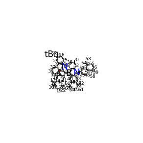 CC1=CC2=C3B(C4=C(CC5=C4C=C4C(C5)C(C)(C)CCC4(C)C)N(c4ccc(C(C)(C)C)cc4-c4ccccc4)C3C1)c1cc3c(cc1N2c1ccc2c(c1)C(C)(C)CCC2(C)C)C(C)(C)CCC3(C)C